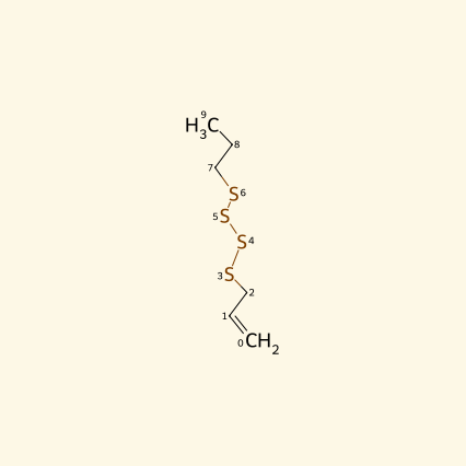 C=CCSSSSCCC